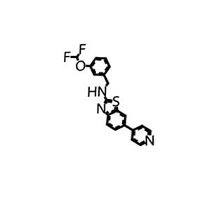 FC(F)Oc1cccc(CNc2nc3ccc(-c4ccncc4)cc3s2)c1